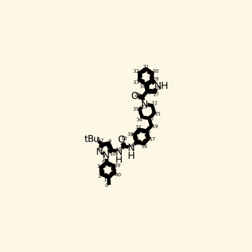 Cc1ccc(-n2nc(C(C)(C)C)cc2NC(=O)Nc2ccc(CC3CCN(C(=O)c4c[nH]c5ccccc45)CC3)cc2)cc1